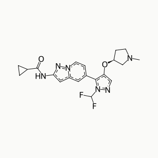 CN1CC[C@H](Oc2cnn(C(F)F)c2-c2ccn3nc(NC(=O)C4CC4)cc3c2)C1